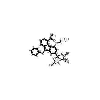 CC(C)[SiH2]OC(O[SiH2]C(C)C)(O[SiH2]C(C)C)c1cc(OCC(=O)O)c2c3c(C(N)=O)cccc3n(Cc3ccccc3)c2c1